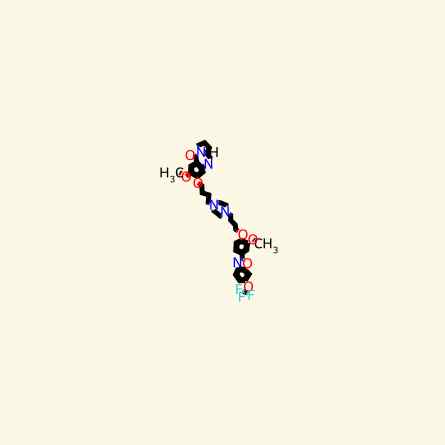 COc1cc(-c2nc3ccc(OC(F)(F)F)cc3o2)ccc1OCCCCN1CCN(CCCCOc2cc3c(cc2OC)C(=O)N2CCC[C@H]2C=N3)CC1